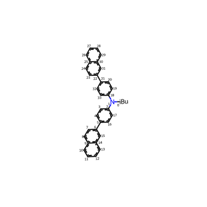 CCC(C)N(c1ccc(-c2ccc3ccccc3c2)cc1)c1ccc(-c2ccc3ccccc3c2)cc1